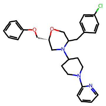 Clc1ccc(CC2CO[C@@H](COc3ccccc3)CN2C2CCN(c3ccccn3)CC2)cc1